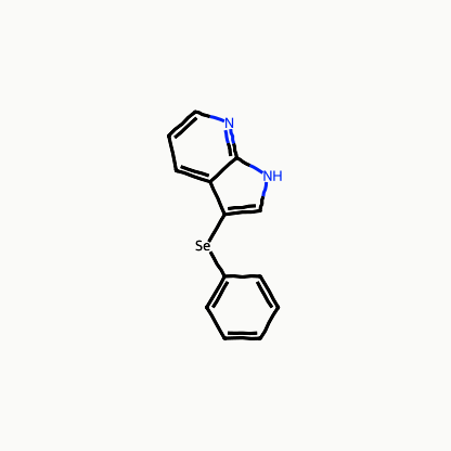 c1ccc([Se]c2c[nH]c3ncccc23)cc1